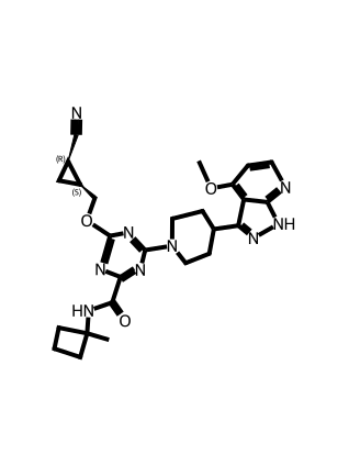 COc1ccnc2[nH]nc(C3CCN(c4nc(OC[C@H]5C[C@H]5C#N)nc(C(=O)NC5(C)CCC5)n4)CC3)c12